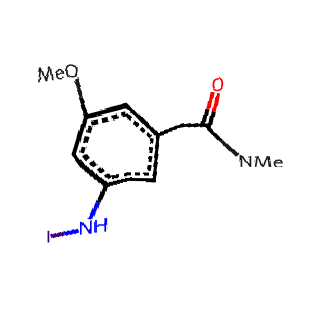 CNC(=O)c1cc(NI)cc(OC)c1